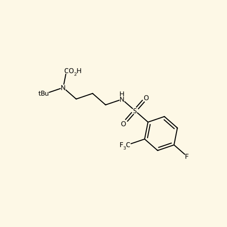 CC(C)(C)N(CCCNS(=O)(=O)c1ccc(F)cc1C(F)(F)F)C(=O)O